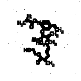 C=C(C)C(=O)OC.C=C(CC)C(=O)OCCCCCC.C=C(CC=CC(=O)O)C(=O)OCCO.C=Cc1ccccc1